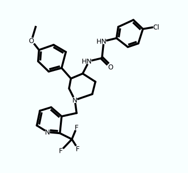 COc1ccc(C2CN(Cc3cccnc3C(F)(F)F)CCC2NC(=O)Nc2ccc(Cl)cc2)cc1